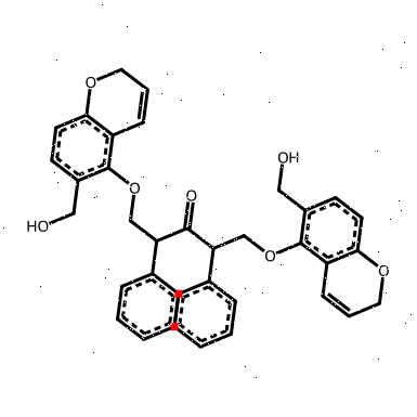 O=C(C(COc1c(CO)ccc2c1C=CCO2)c1ccccc1)C(COc1c(CO)ccc2c1C=CCO2)c1ccccc1